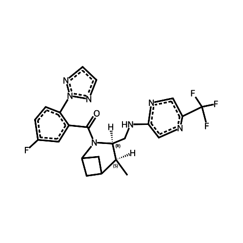 C[C@H]1C2CC(C2)N(C(=O)c2cc(F)ccc2-n2nccn2)[C@H]1CNc1cnc(C(F)(F)F)cn1